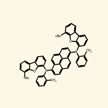 CCCCc1cccc2c1oc1c(N(c3ccccc3C)c3ccc4ccc5c(N(c6ccccc6C)c6cccc7c6oc6c(CCCC)cccc67)ccc6ccc3c4c65)cccc12